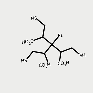 CCC(C(CS)C(=O)O)(C(CS)C(=O)O)C(CS)C(=O)O